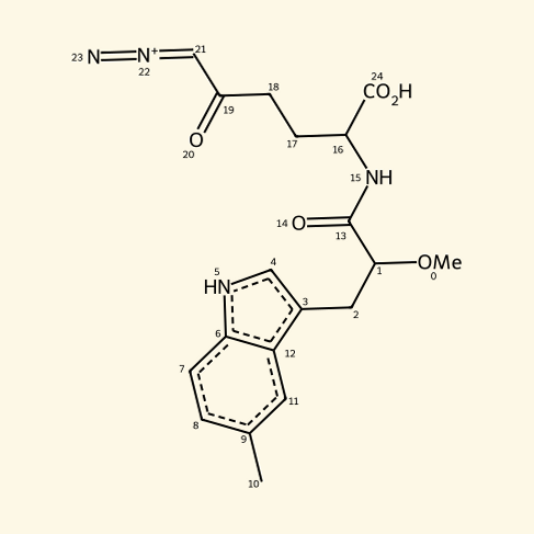 COC(Cc1c[nH]c2ccc(C)cc12)C(=O)NC(CCC(=O)C=[N+]=[N-])C(=O)O